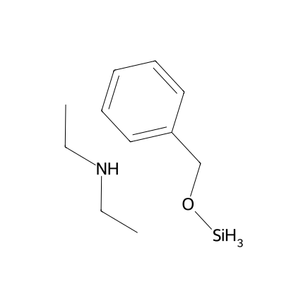 CCNCC.[SiH3]OCc1ccccc1